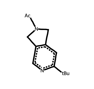 CC(=O)N1Cc2cnc(C(C)(C)C)cc2C1